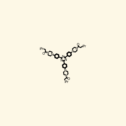 CC(C)CC(=O)N1CCN(c2ccc(-c3nc(-c4ccc(N5CCN(C(=O)CC(C)C)CC5)cc4)nc(-c4ccc(N5CCN(C(=O)CC(C)C)CC5)cc4)n3)cc2)CC1